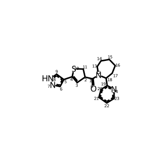 O=C(C1C=C(c2cn[nH]c2)SC1)N1CCCCCC1c1ccccn1